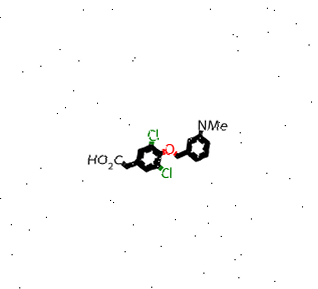 CNc1cccc(COc2c(Cl)cc(CC(=O)O)cc2Cl)c1